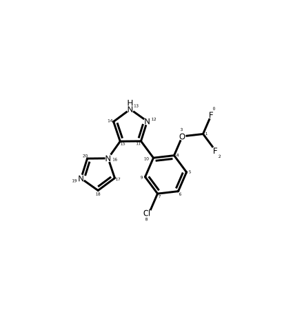 FC(F)Oc1ccc(Cl)cc1-c1n[nH]cc1-n1ccnc1